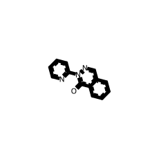 O=c1c2ccccc2cnn1-c1ccccn1